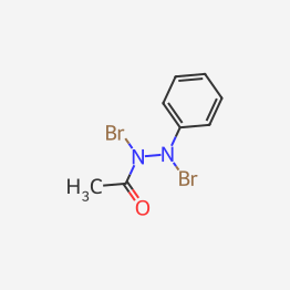 CC(=O)N(Br)N(Br)c1ccccc1